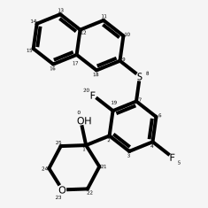 OC1(c2cc(F)cc(Sc3ccc4ccccc4c3)c2F)CCOCC1